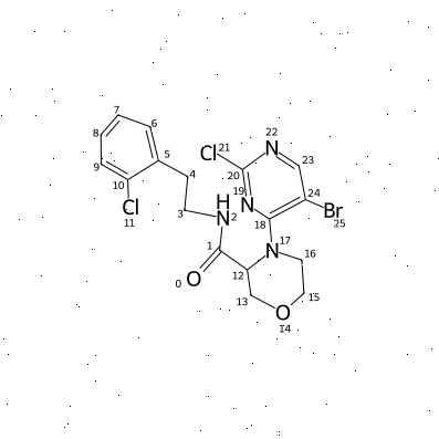 O=C(NCCc1ccccc1Cl)C1COCCN1c1nc(Cl)ncc1Br